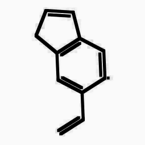 C=Cc1[c]cc2c(c1)CC=C2